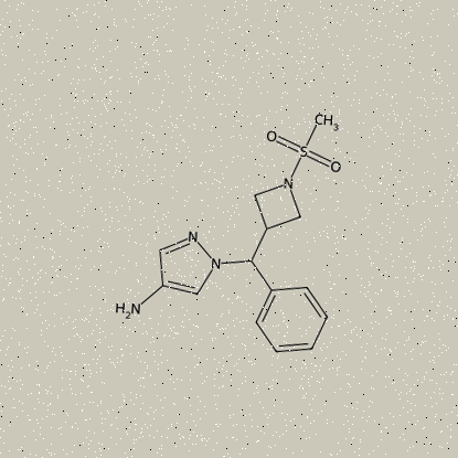 CS(=O)(=O)N1CC(C(c2ccccc2)n2cc(N)cn2)C1